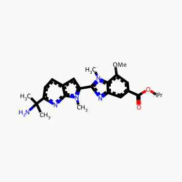 COc1cc(C(=O)OC(C)C)cc2nc(-c3cc4ccc(C(C)(C)N)nc4n3C)n(C)c12